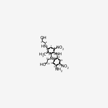 Cc1c(NCCO)cc([N+](=O)[O-])c(Nc2ccc(N)c([N+](=O)[O-])c2)c1NCCO